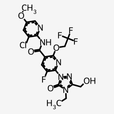 CCn1c(CO)nn(-c2nc(OCC(F)(F)F)c(C(=O)Nc3ncc(OC)cc3Cl)cc2F)c1=O